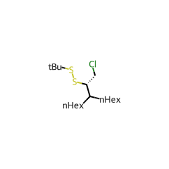 CCCCCCC(CCCCCC)[C@@H](CCl)SSC(C)(C)C